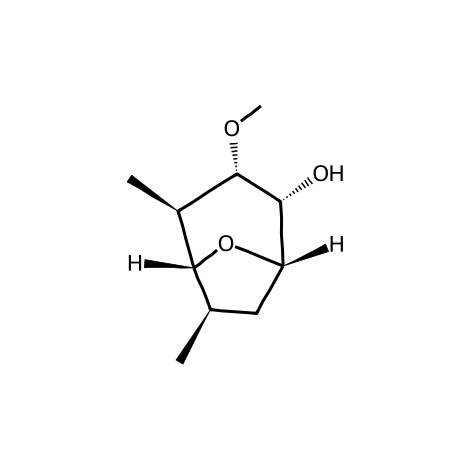 CO[C@H]1[C@H](C)[C@@H]2O[C@@H](C[C@H]2C)[C@H]1O